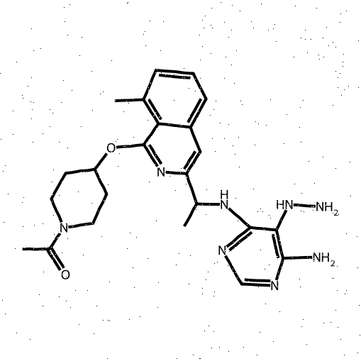 CC(=O)N1CCC(Oc2nc(C(C)Nc3ncnc(N)c3NN)cc3cccc(C)c23)CC1